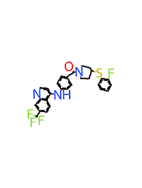 O=C(c1ccc(Nc2ccnc3cc(C(F)(F)F)ccc23)cc1)N1CCC(Sc2ccccc2F)CC1